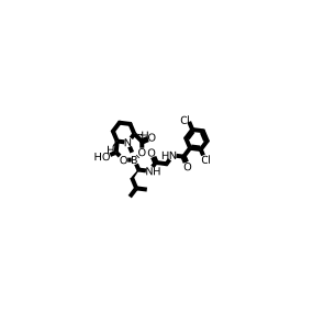 CC(C)C[C@H](NC(=O)CNC(=O)c1cc(Cl)ccc1Cl)B1OC(=O)[C@@H]2CCC[C@H](C(O)O1)N2C